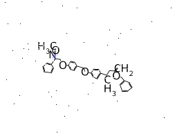 C=C(CC(C)c1ccc(OCc2ccc(OC/C(=N\OC)c3ccccc3)cc2)cc1)OCc1ccccc1